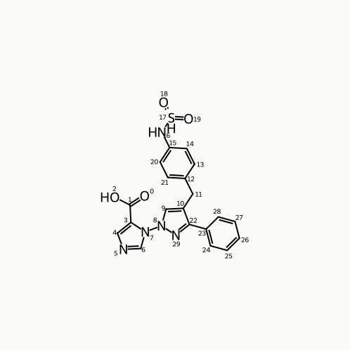 O=C(O)c1cncn1-n1cc(Cc2ccc(N[SH](=O)=O)cc2)c(-c2ccccc2)n1